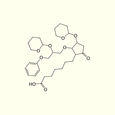 O=C(O)CCCCCCC1C(=O)CC(OC2CCCCO2)C1OCC(COc1ccccc1)OC1CCCCO1